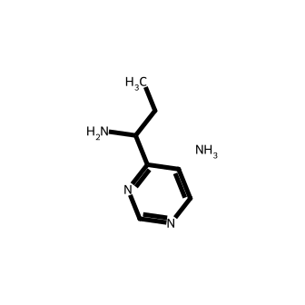 CCC(N)c1ccncn1.N